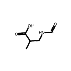 CC(CN[C]=O)C(=O)O